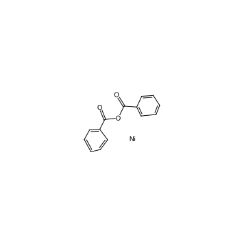 O=C(OC(=O)c1ccccc1)c1ccccc1.[Ni]